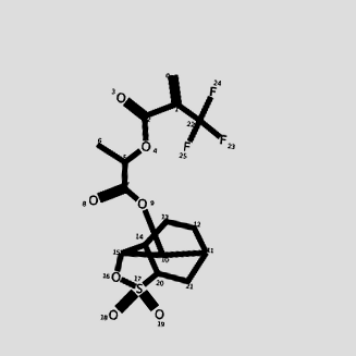 C=C(C(=O)OC(C)C(=O)OC1C2CCC3C1OS(=O)(=O)C3C2)C(F)(F)F